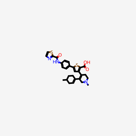 CC1CC=C(C2=C(c3cc(-c4ccc(NC(=O)c5nccs5)cc4)sc3C(=O)O)CCN(C)C2)CC1